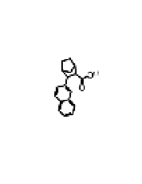 O=C(O)C1C2CCC(C2)C1c1ccc2ccccc2c1